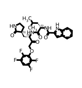 CC(C)C[C@H](NC(=O)c1cc2ccccc2[nH]1)C(=O)N[C@@H](C[C@@H]1CCNC1=O)C(=O)COc1c(F)c(F)cc(F)c1F